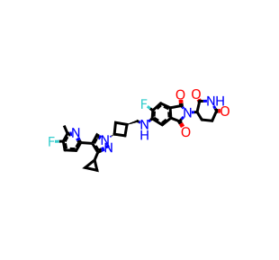 Cc1nc(-c2cn([C@H]3C[C@H](CNc4cc5c(cc4F)C(=O)N(C4CCC(=O)NC4=O)C5=O)C3)nc2C2CC2)ccc1F